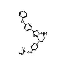 C=CC(=O)Nc1ccc(C2CCNn3cc(-c4ccc(Oc5ccccc5)cc4)nc32)cc1